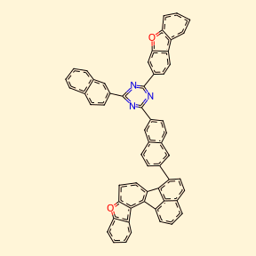 c1ccc2cc(-c3nc(-c4ccc5cc(-c6ccc7cccc8c7c6-c6ccc7oc9ccccc9c7c6-8)ccc5c4)nc(-c4ccc5c(c4)oc4ccccc45)n3)ccc2c1